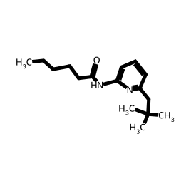 CCCCCC(=O)Nc1cccc(CC(C)(C)C)n1